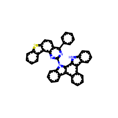 c1ccc(-c2nc(-n3c4ccccc4c4c5ccccc5c5c6ccccc6[nH]c5c43)nc3c2ccc2sc4ccccc4c23)cc1